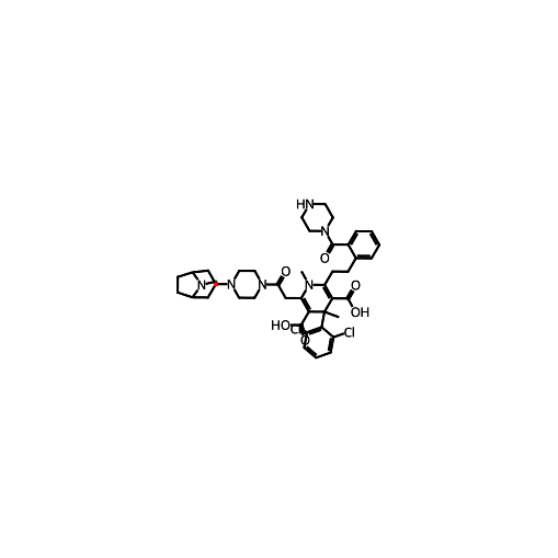 CN1C(CCc2ccccc2C(=O)N2CCNCC2)=C(C(=O)O)C(C)(c2c(Cl)cccc2Cl)C(C(=O)O)=C1CC(=O)N1CCN(C2CC3CCC(C2)N3C)CC1